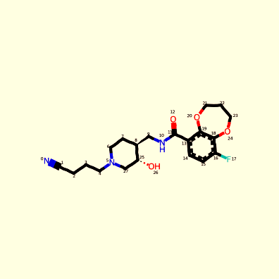 N#CCCCN1CC[C@@H](CNC(=O)c2ccc(F)c3c2OCCCO3)[C@H](O)C1